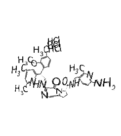 COc1cc(C)ccc1[C@H](CNc1ncc2n(c1=O)[C@H](C(=O)NCc1ccc(N)nc1C)CC2)c1cc(C)cc(C)n1.Cl.Cl.Cl